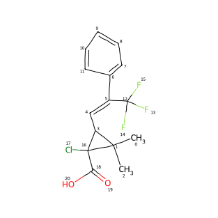 CC1(C)C(C=C(c2ccccc2)C(F)(F)F)C1(Cl)C(=O)O